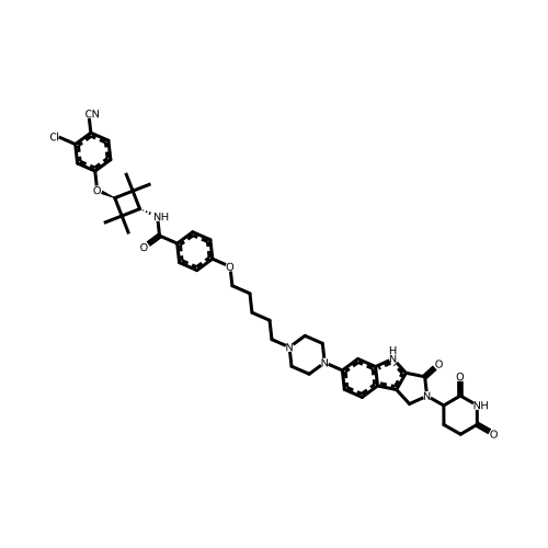 CC1(C)[C@H](NC(=O)c2ccc(OCCCCCN3CCN(c4ccc5c6c([nH]c5c4)C(=O)N(C4CCC(=O)NC4=O)C6)CC3)cc2)C(C)(C)[C@H]1Oc1ccc(C#N)c(Cl)c1